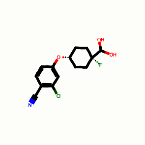 N#Cc1ccc(O[C@H]2CC[C@](F)(C(O)O)CC2)cc1Cl